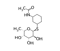 CC(=O)NC1CCCC(S[C@@H]2O[C@@H](C)[C@@H](O)[C@@H](O)[C@@H]2O)C1